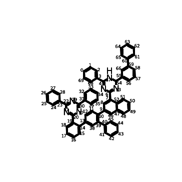 c1ccc(C2=NC(c3cc(-c4ccc(-c5ccccc5-c5nc(-c6ccccc6)nc(-c6ccccc6)n5)cc4-c4ccccc4)cc4ccccc34)=NC(c3cccc(-c4ccccc4)c3)N2)cc1